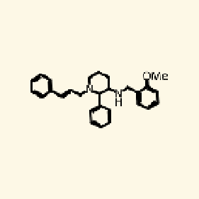 COc1ccccc1CNC1CCCN(CC=Cc2ccccc2)C1c1ccccc1